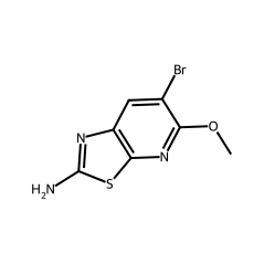 COc1nc2sc(N)nc2cc1Br